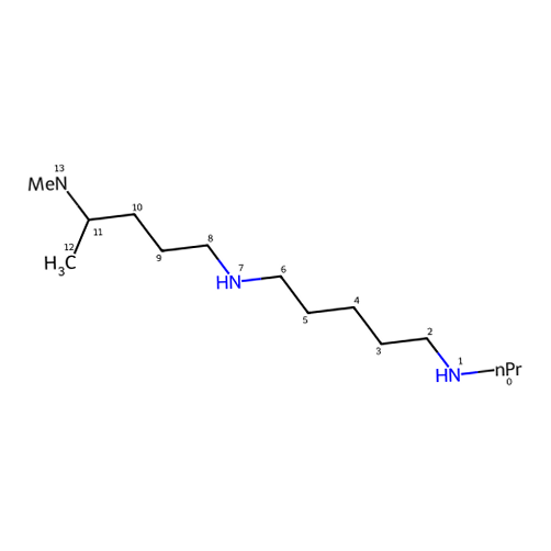 CCCNCCCCCNCCCC(C)NC